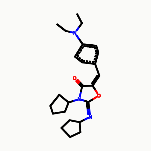 CCN(CC)c1ccc(/C=C2/OC(=NC3CCCC3)N(C3CCCC3)C2=O)cc1